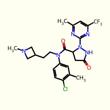 Cc1cc(C(F)(F)F)nc(N2NC(=O)CC2C(=O)N(CCC2CN(C)C2)c2ccc(Cl)c(C)c2)n1